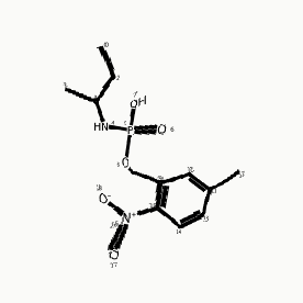 CCC(C)NP(=O)(O)Oc1cc(C)ccc1[N+](=O)[O-]